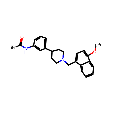 CCCOc1ccc(CN2CCC(c3cccc(NC(=O)C(C)C)c3)CC2)c2ccccc12